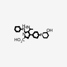 CC(=N)c1c(-c2ccc(N3CCCC(O)C3)cc2)cc(C(=O)O)nc1Nc1ccccc1